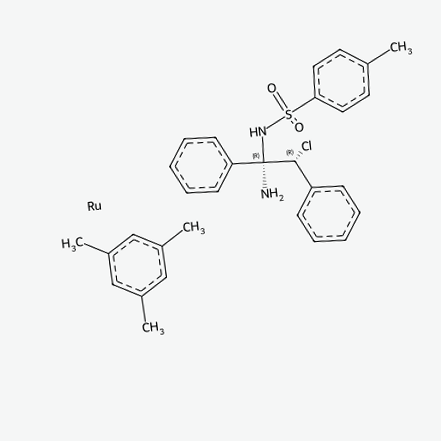 Cc1cc(C)cc(C)c1.Cc1ccc(S(=O)(=O)N[C@](N)(c2ccccc2)[C@H](Cl)c2ccccc2)cc1.[Ru]